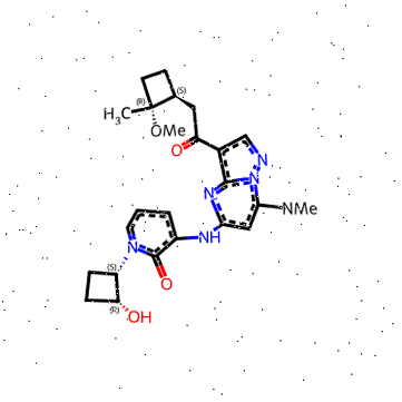 CNc1cc(Nc2cccn([C@H]3CC[C@H]3O)c2=O)nc2c(C(=O)C[C@@H]3CC[C@@]3(C)OC)cnn12